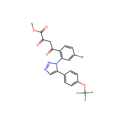 COC(=O)C(=O)CC(=O)c1ccc(Br)cc1-n1nncc1-c1ccc(OC(F)(F)F)cc1